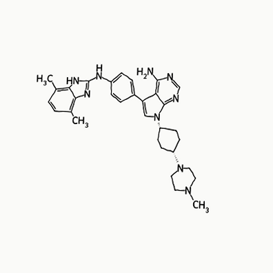 Cc1ccc(C)c2[nH]c(Nc3ccc(-c4cn([C@H]5CC[C@@H](N6CCN(C)CC6)CC5)c5ncnc(N)c45)cc3)nc12